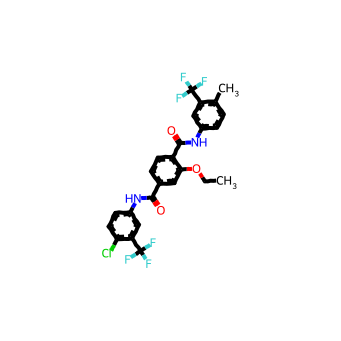 CCOc1cc(C(=O)Nc2ccc(Cl)c(C(F)(F)F)c2)ccc1C(=O)Nc1ccc(C)c(C(F)(F)F)c1